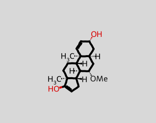 CO[C@H]1C[C@@H]2C[C@@H](O)C=C[C@]2(C)[C@H]2CC[C@]3(C)C(O)=CC[C@H]3[C@H]12